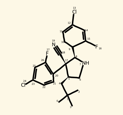 CC(C)(C)C[C@@H]1CN[C@H](C2CC=C(Cl)C=C2F)[C@@]1(C#N)c1ccc(Cl)cc1F